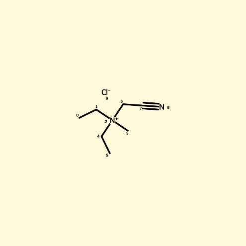 CC[N+](C)(CC)CC#N.[Cl-]